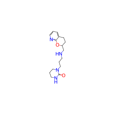 O=C1NCCCN1CCCNCC1CCc2cccnc2O1